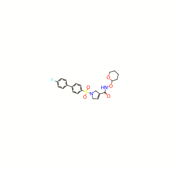 O=C(NOC1CCCCO1)C1=CCN(S(=O)(=O)c2ccc(-c3ccc(F)cc3)cc2)C1